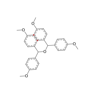 COc1ccc(C(OC(c2ccc(OC)cc2)c2ccc(OC)cc2)c2ccc(OC)cc2)cc1